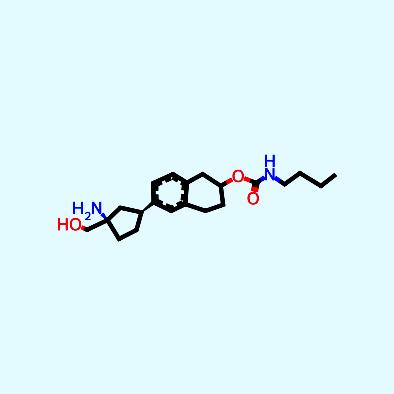 CCCCNC(=O)OC1CCc2cc([C@H]3CC[C@](N)(CO)C3)ccc2C1